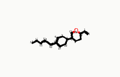 C=CC1CCC(C2CCC(CCCCC)CC2)CO1